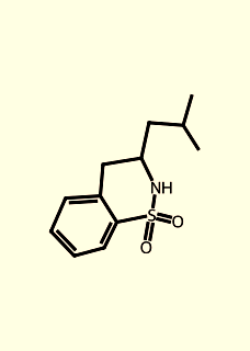 CC(C)CC1Cc2ccccc2S(=O)(=O)N1